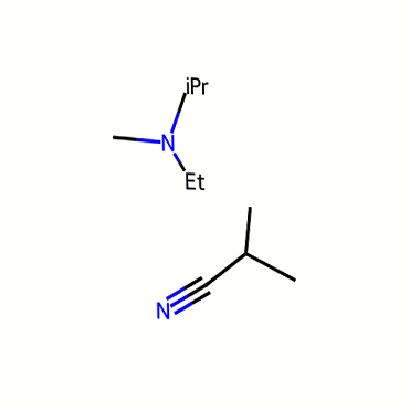 CC(C)C#N.CCN(C)C(C)C